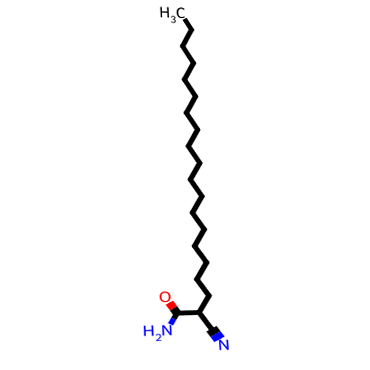 CCCCCCCCCCCCCCCCCCC(C#N)C(N)=O